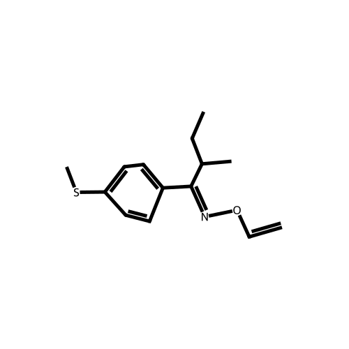 C=CO/N=C(/c1ccc(SC)cc1)C(C)CC